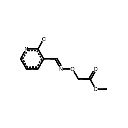 COC(=O)CON=Cc1cccnc1Cl